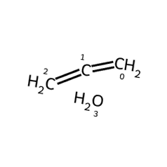 C=C=C.O